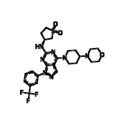 O=S1(=O)CC[C@H](Nc2nc(N3CCC(N4CCOCC4)CC3)c3cnn(-c4cccc(C(F)(F)F)c4)c3n2)C1